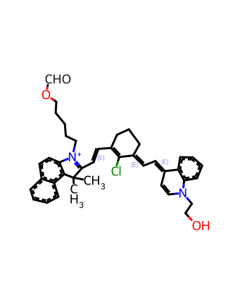 CC1(C)C(/C=C/C2=C(Cl)C(=C/C=C3\C=CN(CCO)c4ccccc43)/CCC2)=[N+](CCCCCOC=O)c2ccc3ccccc3c21